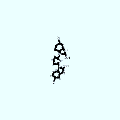 Sc1nc2cc(Cl)ccc2n1-c1cccc(-n2c(S)nc3cc(Cl)ccc32)n1